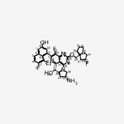 CCc1c(F)ccc2cc(O)cc(-c3ncc4c(N5C[C@H](N)C[C@H]5CO)nc(OC[C@@]56CCCN5C[C@H](F)C6)nc4c3F)c12